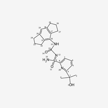 CC(C)(O)c1cccc(S(N)(=O)=NC(=O)Nc2c3c(cc4c2CCC4)CCC3)n1